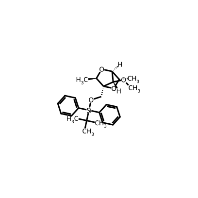 CO[C@H]1[C@H]2O[C@H](C)[C@]1(CO[Si](c1ccccc1)(c1ccccc1)C(C)(C)C)O[C@H]2C